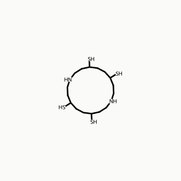 SC1CCNCCC(S)CCC(S)CCNCCC(S)CC1